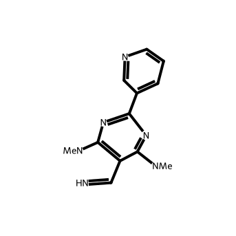 CNc1nc(-c2cccnc2)nc(NC)c1C=N